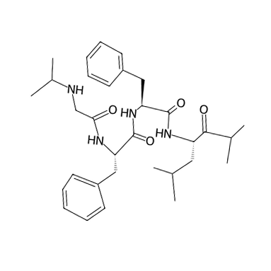 CC(C)C[C@H](NC(=O)[C@H](Cc1ccccc1)NC(=O)[C@H](Cc1ccccc1)NC(=O)CNC(C)C)C(=O)C(C)C